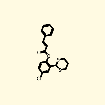 O=C(C=Cc1ccccc1)Oc1ccc(Cl)cc1C1SCCCS1